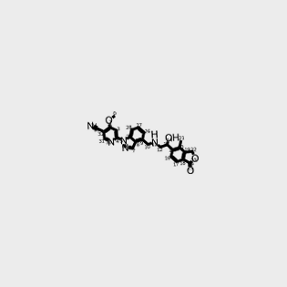 COc1cc(-n2ncc3c(CNCC(O)c4ccc5c(c4C)COC5=O)cccc32)ncc1C#N